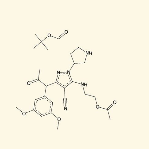 CC(C)(C)OC=O.COc1cc(OC)cc(C(C(C)=O)c2nn(C3CCNC3)c(NCCOC(C)=O)c2C#N)c1